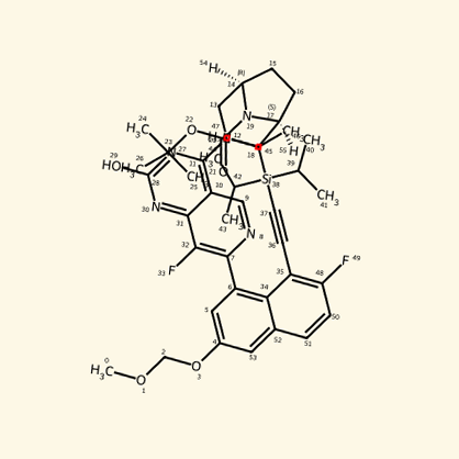 COCOc1cc(-c2ncc3c(N4C[C@H]5CC[C@@H](C4)N5C(=O)OC(C)(C)C)nc(O)nc3c2F)c2c(C#C[Si](C(C)C)(C(C)C)C(C)C)c(F)ccc2c1